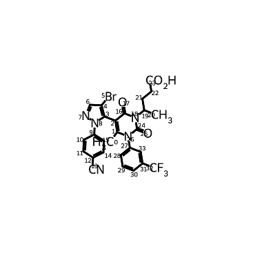 Cc1c(-c2c(Br)cnn2-c2ccc(C#N)cc2)c(=O)n(C(C)CCC(=O)O)c(=O)n1-c1cccc(C(F)(F)F)c1